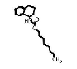 C=CCCCCCCOC(=O)N[C@H]1CCCc2ccccc21